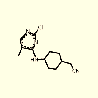 Cc1cnc(Cl)nc1NC1CCC(CC#N)CC1